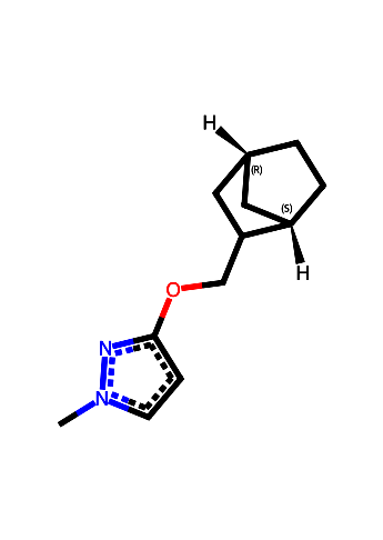 Cn1ccc(OCC2C[C@@H]3CC[C@H]2C3)n1